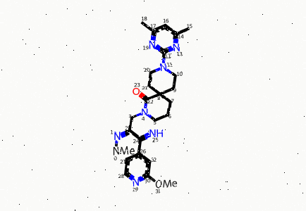 CN/N=C(/CN1CCCC2(CCN(c3nc(C)cc(C)n3)CC2)C1=O)C(=N)c1ccnc(OC)c1